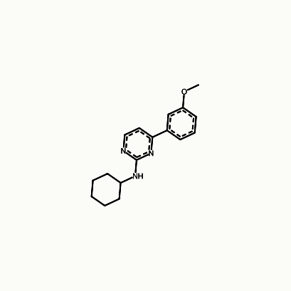 COc1cccc(-c2ccnc(NC3CCCCC3)n2)c1